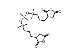 C[Si](C)(CCCC1CC(=O)OC1=O)O[Si](C)(C)O[Si](C)(C)CCCC1CC(=O)OC1=O